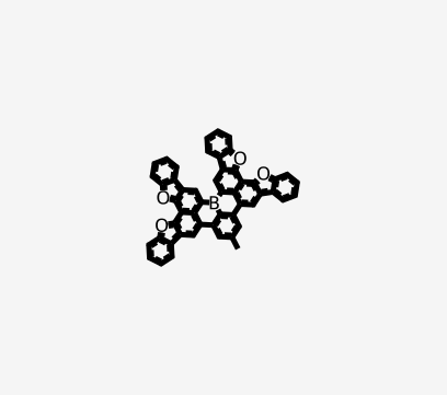 Cc1cc2c3c(c1)-c1cc4c5ccccc5oc4c4c1c(cc1c5ccccc5oc14)B3c1cc3c4ccccc4oc3c3c1c-2cc1c2ccccc2oc13